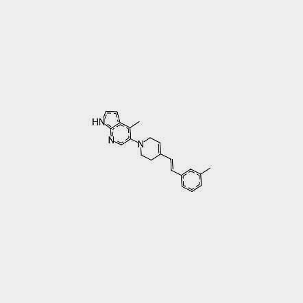 Cc1cccc(C=CC2=CCN(c3cnc4[nH]ccc4c3C)CC2)c1